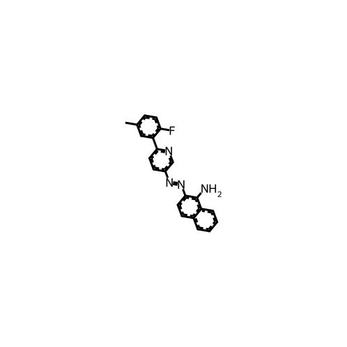 Cc1ccc(F)c(-c2ccc(N=Nc3ccc4ccccc4c3N)cn2)c1